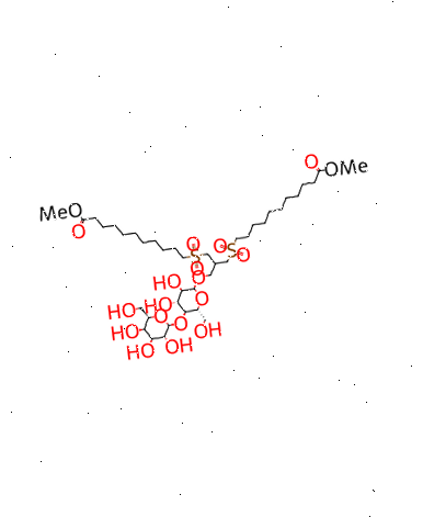 COC(=O)CCCCCCCCCCS(=O)(=O)CC(CO[C@H]1O[C@H](CO)[C@@H](O[C@@H]2O[C@H](CO)[C@H](O)[C@H](O)[C@H]2O)[C@H](O)[C@H]1O)CS(=O)(=O)CCCCCCCCCCC(=O)OC